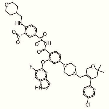 CC1(C)CC(c2ccc(Cl)cc2)=C(CN2CCN(c3ccc(C(=O)NS(=O)(=O)c4ccc(NCC5CCOCC5)c([N+](=O)[O-])c4)c(Oc4cc5cc[nH]c5cc4F)c3)CC2)CO1